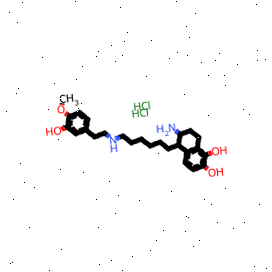 COc1ccc(CCNCCCCCCC2c3ccc(O)c(O)c3CCC2N)cc1O.Cl.Cl